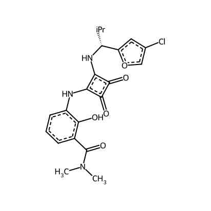 CC(C)[C@@H](Nc1c(Nc2cccc(C(=O)N(C)C)c2O)c(=O)c1=O)c1cc(Cl)co1